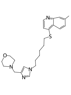 Cc1ccc2c(SCCCCCCn3cnc(CN4CCOCC4)c3)ccnc2c1